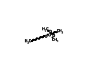 CCCCCCCCCOCO/C(OCC)=C(/CCC)OCC